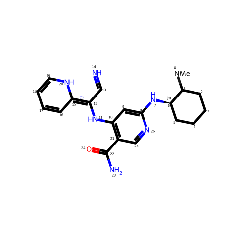 CNC1CCCC[C@H]1Nc1cc(N/C(C=N)=C2\C=CC=CN2)c(C(N)=O)cn1